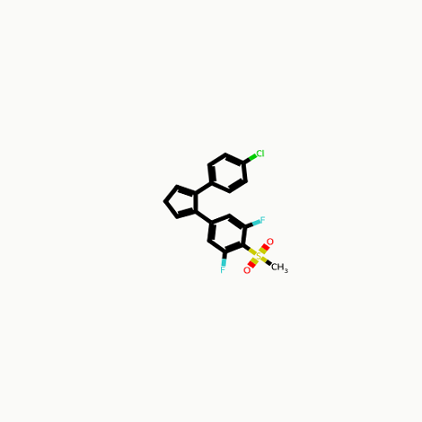 CS(=O)(=O)c1c(F)cc(C2=CCC=C2c2ccc(Cl)cc2)cc1F